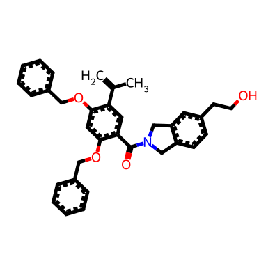 C=C(C)c1cc(C(=O)N2Cc3ccc(CCO)cc3C2)c(OCc2ccccc2)cc1OCc1ccccc1